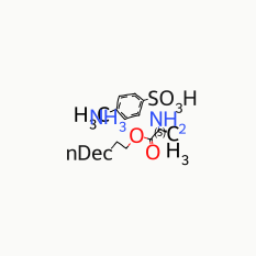 CCCCCCCCCCCCOC(=O)[C@H](C)N.Cc1ccc(S(=O)(=O)O)cc1.N